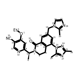 CCOc1cc([C@H](C)N2CCc3c(cc(Cn4ccnc4C)cc3-n3nc(C)nc3C)C2=O)ncc1C#N